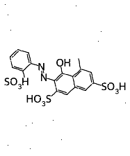 Cc1cc(S(=O)(=O)O)cc2cc(S(=O)(=O)O)c(N=Nc3ccccc3S(=O)(=O)O)c(O)c12